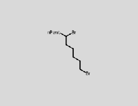 CCCCCC(Br)CCCCCBr